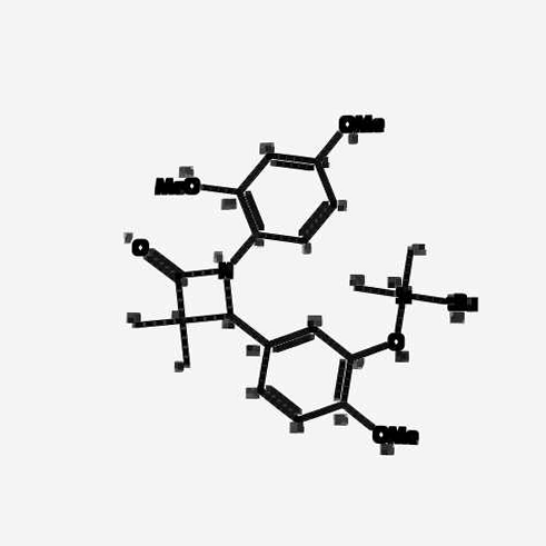 COc1ccc(N2C(=O)C(C)(C)C2c2ccc(OC)c(O[Si](C)(C)C(C)(C)C)c2)c(OC)c1